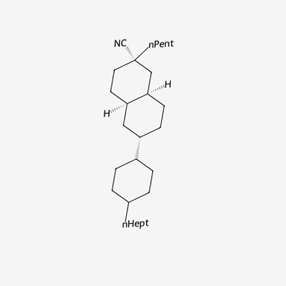 CCCCCCCC1CCC([C@H]2CC[C@@H]3C[C@](C#N)(CCCCC)CC[C@@H]3C2)CC1